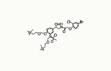 C[Si](C)(C)CCOCOc1ccc(C(O)CNC(=O)COc2ccc(Br)cc2Cl)cc1N(COCC[Si](C)(C)C)S(C)(=O)=O